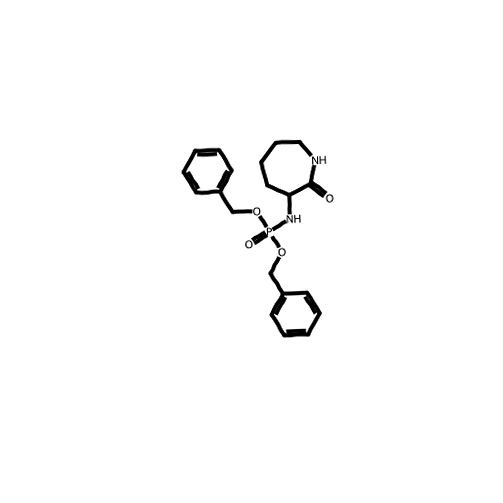 O=C1NCCCCC1NP(=O)(OCc1ccccc1)OCc1ccccc1